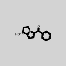 O=C(c1ccccc1)c1ccc2n1CC[C@H]2O